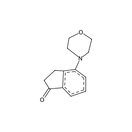 O=C1CCc2c1cccc2N1CCOCC1